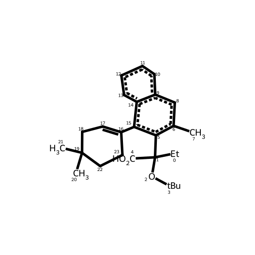 CCC(OC(C)(C)C)(C(=O)O)c1c(C)cc2ccccc2c1C1=CCC(C)(C)CC1